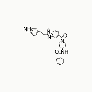 Cn1c(CCc2ccc(CN)cc2)nc2cc(C(=O)N3CCC(NC(=O)c4ccccc4)CC3)ccc21